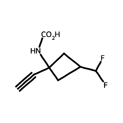 C#CC1(NC(=O)O)CC(C(F)F)C1